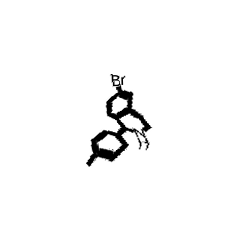 Cc1ccc(C2NCCc3cc(Br)ccc32)cc1